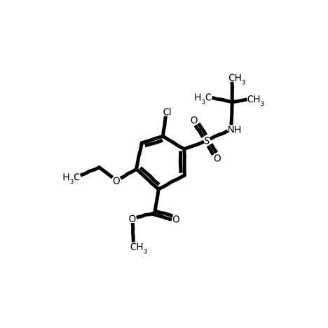 CCOc1cc(Cl)c(S(=O)(=O)NC(C)(C)C)cc1C(=O)OC